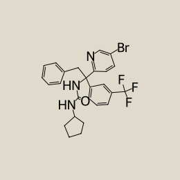 O=C(NC1CCCC1)NC(Cc1ccccc1)(c1cccc(C(F)(F)F)c1)c1ccc(Br)cn1